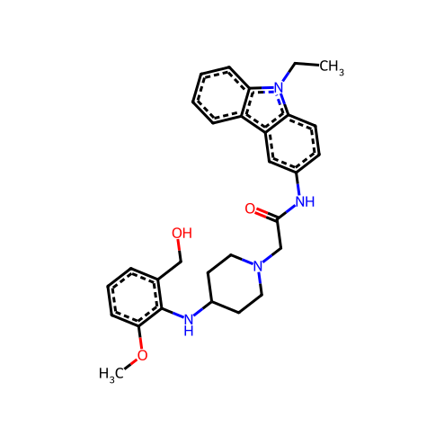 CCn1c2ccccc2c2cc(NC(=O)CN3CCC(Nc4c(CO)cccc4OC)CC3)ccc21